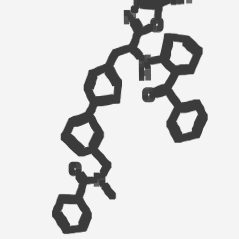 CCCc1nnc(C(Cc2ccc(-c3cccc(CN(C)C(=O)c4ccccc4)c3)cc2)Nc2ccccc2C(=O)c2ccccc2)o1